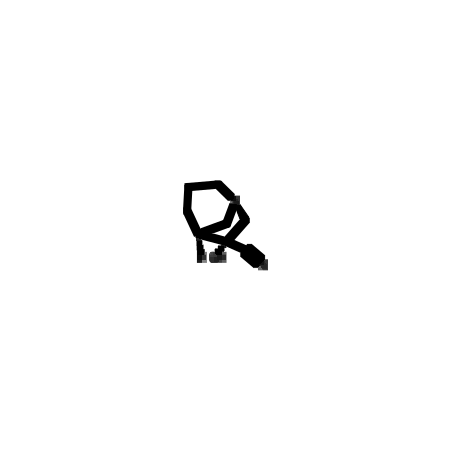 N#C[C@]1(O)C[N@]2CCC[C@H]1C2